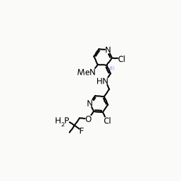 CNC1C=CN=C(Cl)/C1=C/NCc1cnc(OCC(C)(F)P)c(Cl)c1